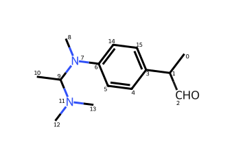 CC(C=O)c1ccc(N(C)C(C)N(C)C)cc1